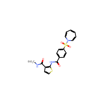 CCOC(=O)NC(=O)c1ccsc1NC(=O)c1ccc(S(=O)(=O)N2C=CC=CC=C2)cc1